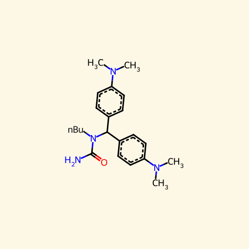 CCCCN(C(N)=O)C(c1ccc(N(C)C)cc1)c1ccc(N(C)C)cc1